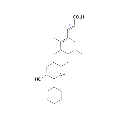 CC1=C(/C=C/C(=O)O)CC(C)C(CC2CCC(O)C(C3CCCCC3)N2)C1C